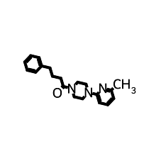 Cc1cccc(N2CCN(C(=O)CCCc3ccccc3)CC2)n1